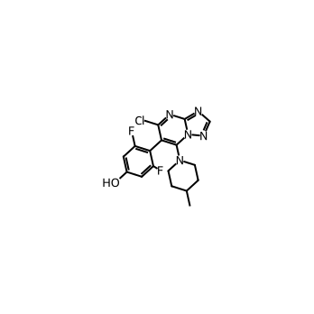 CC1CCN(c2c(-c3c(F)cc(O)cc3F)c(Cl)nc3ncnn23)CC1